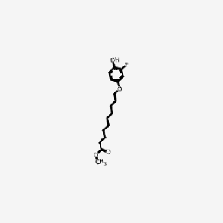 COC(=O)CCCCCCCCCOc1ccc(O)c(F)c1